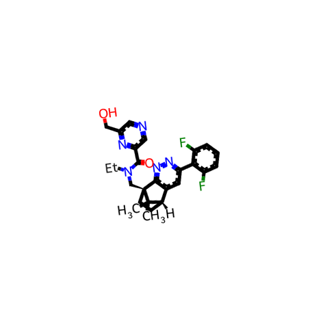 CCN(C[C@@]12CC[C@@H](c3cc(-c4c(F)cccc4F)nnc31)C2(C)C)C(=O)c1cncc(CO)n1